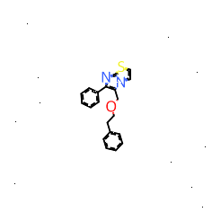 c1ccc(CCOCc2c(-c3ccccc3)nc3sccn23)cc1